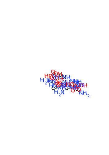 CC(N[C@@H](CCCN)C(=O)N[C@@H](Cc1c[nH]c2ccccc12)C(=O)N[C@@H](CCCN)C(=O)N[C@@H](Cc1ccccc1)C(=O)N[C@@H](CCCN)C(=O)N[C@@H](CO)C(=O)N[C@@H](CO)C(=O)O)[C@H](Cc1ccccc1)NC(=O)[C@H](CCCN)NC(=O)[C@H](CO)NC(=O)[C@@H](N)CO